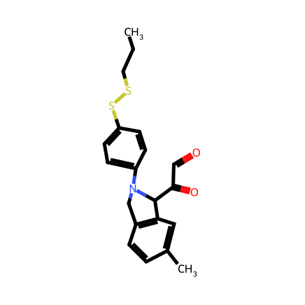 CCCSSc1ccc(N2Cc3ccc(C)cc3C2C(=O)C=O)cc1